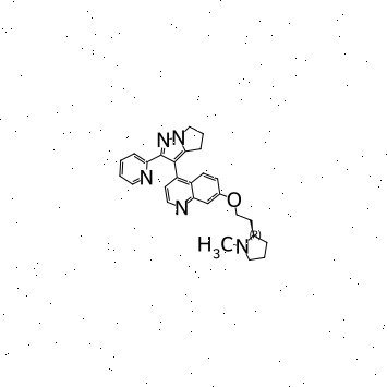 CN1CCC[C@@H]1CCOc1ccc2c(-c3c(-c4ccccn4)nn4c3CCC4)ccnc2c1